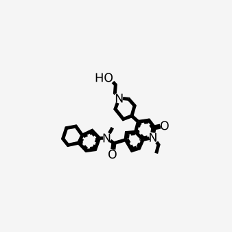 CCn1c(=O)cc(C2CCN(CCO)CC2)c2cc(C(=O)N(C)c3ccc4c(c3)CCCC4)ccc21